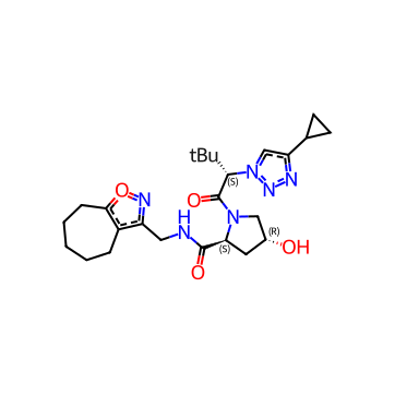 CC(C)(C)[C@@H](C(=O)N1C[C@H](O)C[C@H]1C(=O)NCc1noc2c1CCCCC2)n1cc(C2CC2)nn1